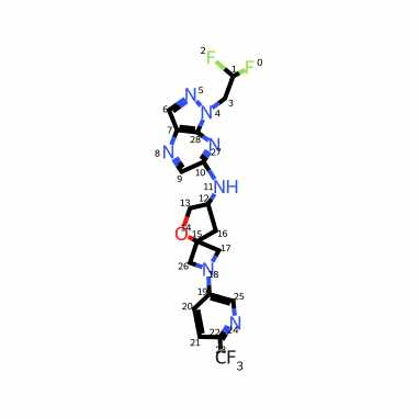 FC(F)Cn1ncc2ncc(NC3COC4(C3)CN(c3ccc(C(F)(F)F)nc3)C4)nc21